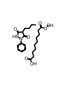 CCCCC1C(=O)NN(c2ccccc2)C1=O.O=C(O)CCCCCCCCC(=O)OO